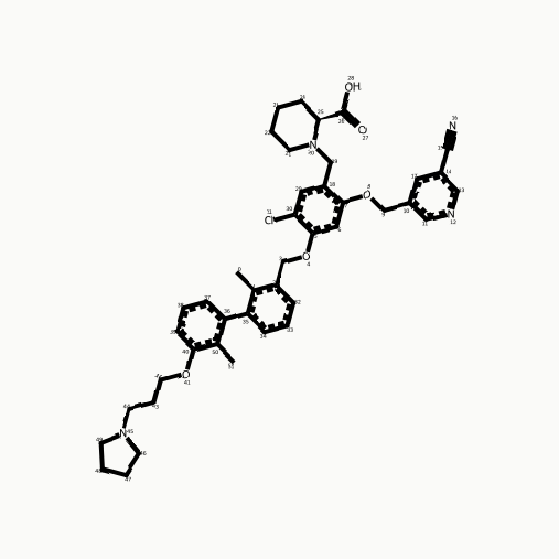 Cc1c(COc2cc(OCc3cncc(C#N)c3)c(CN3CCCC[C@H]3C(=O)O)cc2Cl)cccc1-c1cccc(OCCCN2CCCC2)c1C